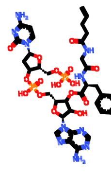 C=CCCC(=O)NCC(=O)N[C@@H](Cc1ccccc1)C(=O)OC1C(O)[C@H](n2cnc3c(N)ncnc32)O[C@@H]1COP(=O)(O)OC1C[C@H](n2ccc(N)nc2=O)O[C@@H]1COP(=O)(O)O